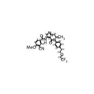 COc1ccc(C(=O)Nc2cnn3c2C(=O)N(c2ccc(CCOCC(F)(F)F)cc2)C(C)C3)cc1C#N